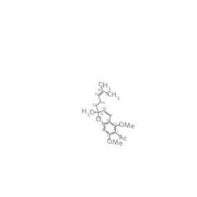 COc1cc2c(c(OC)c1C(C)=O)C=CC(C)(CCC=C(C)C)O2